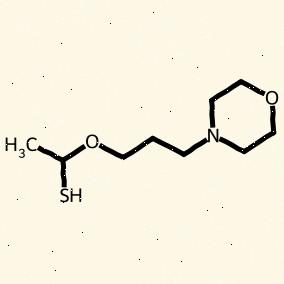 CC(S)OCCCN1CCOCC1